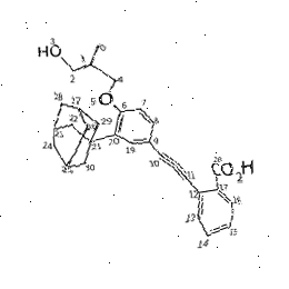 CC(CO)COc1ccc(C#Cc2ccccc2C(=O)O)cc1C12CC3CC(CC(C3)C1)C2